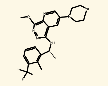 COc1nnc(N[C@H](C)c2cccc(C(F)(F)F)c2C)c2cc(N3CCNCC3)cnc12